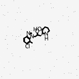 Cc1c(Cl)ccc2ncn(CC(=O)C[C@H]3NCCC[C@@H]3O)c12